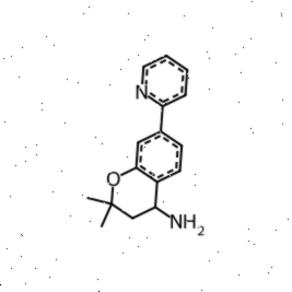 CC1(C)CC(N)c2ccc(-c3ccccn3)cc2O1